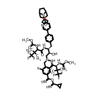 COC(=O)NC(C(=O)N[C@@H](Cc1ccc(-c2ccc(N3CC4CCC(C3)N4C3COC3)nc2)cc1)[C@@H](O)CN(Cc1c(F)cc(C(=N)OC(=N)C2CC2)cc1F)NC(=O)[C@@H](NC(=O)OC)C(C)(C)C(F)(F)F)C(C)(C)C(F)(F)F